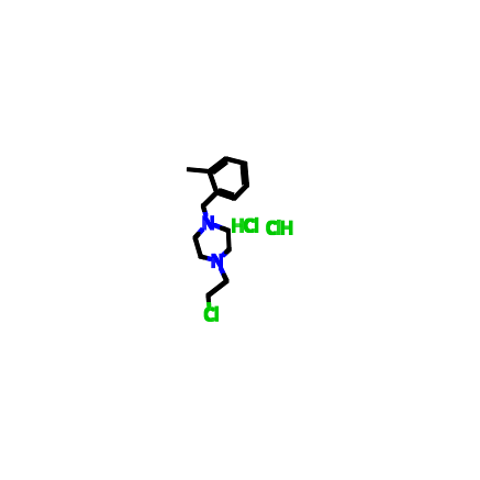 Cc1ccccc1CN1CCN(CCCl)CC1.Cl.Cl